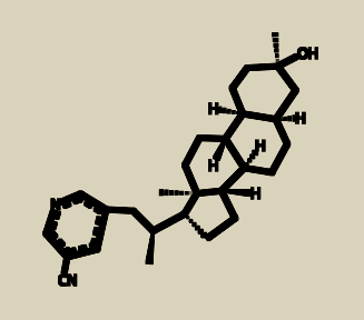 C[C@@H](Cc1cncc(C#N)c1)[C@H]1CC[C@H]2[C@@H]3CC[C@@H]4C[C@](C)(O)CC[C@@H]4[C@H]3CC[C@]12C